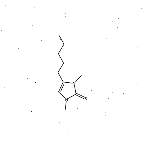 CCCCCc1cn(C)c(=S)n1C